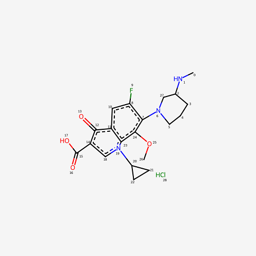 CNC1CCCN(c2c(F)cc3c(=O)c(C(=O)O)cn(C4CC4)c3c2OC)C1.Cl